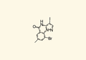 Cc1cc(Br)c2c(c1)c(=O)[nH]c1c(I)cnn12